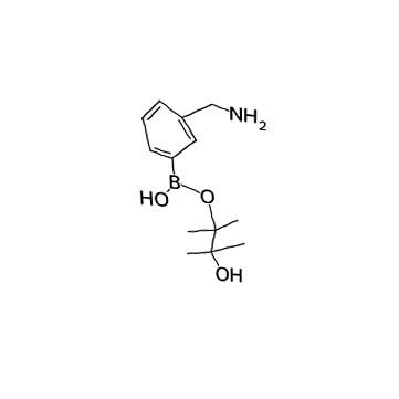 CC(C)(O)C(C)(C)OB(O)c1cccc(CN)c1